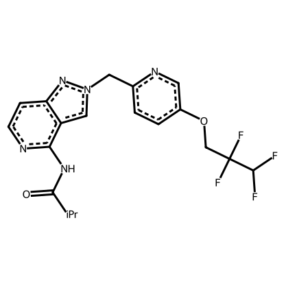 CC(C)C(=O)Nc1nccc2nn(Cc3ccc(OCC(F)(F)C(F)F)cn3)cc12